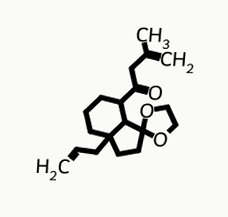 C=CCC12CCCC(C(=O)CC(=C)C)C1C1(CC2)OCCO1